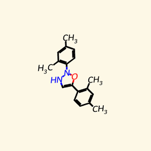 Cc1ccc(C2=CNN(c3ccc(C)cc3C)O2)c(C)c1